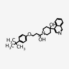 CC(C)(C)c1ccc(OCC[C@H](O)N2CCC(O)(c3cncc4ccccc34)CC2)cc1